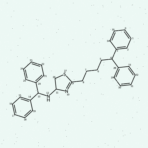 c1ccc(C(CCCCC2=NC(NC(c3ccccc3)c3ccccc3)CS2)c2ccccc2)cc1